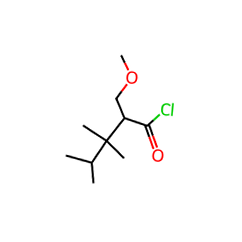 COCC(C(=O)Cl)C(C)(C)C(C)C